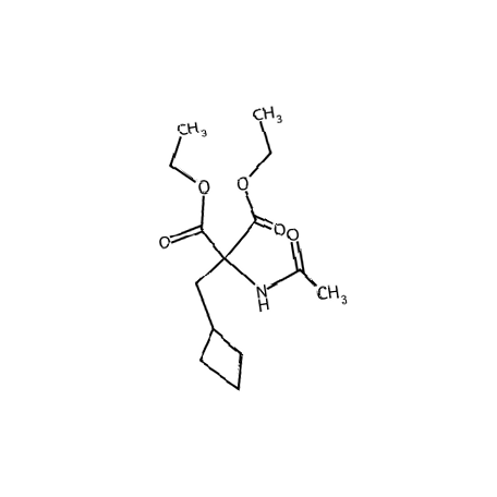 CCOC(=O)C(CC1CCC1)(NC(C)=O)C(=O)OCC